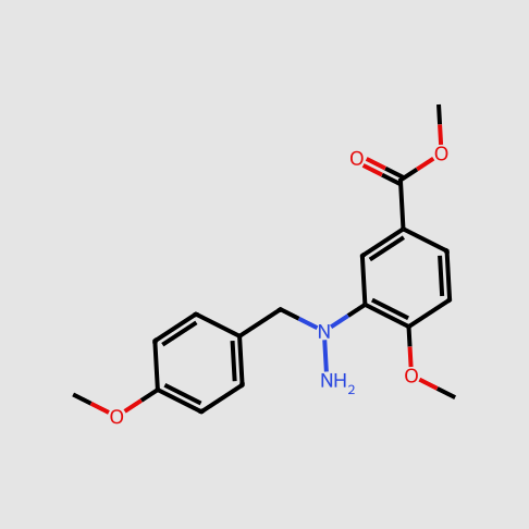 COC(=O)c1ccc(OC)c(N(N)Cc2ccc(OC)cc2)c1